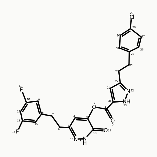 O=C(Oc1cc(CCc2cc(F)cc(F)c2)n[nH]c1=O)c1cc(CCc2ccc(Cl)cc2)n[nH]1